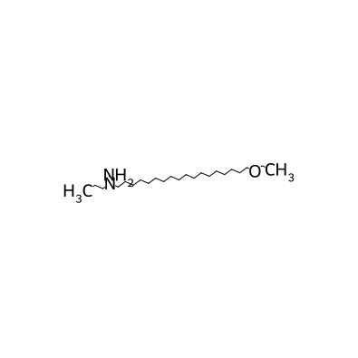 CCCN(N)CCCCCCCCCCCCCCCCCCOCC